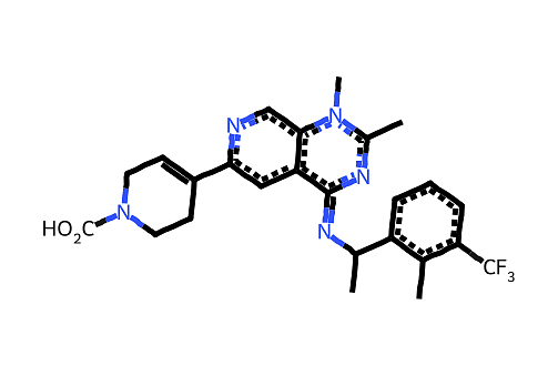 Cc1c(C(C)N=c2nc(C)n(C)c3cnc(C4=CCN(C(=O)O)CC4)cc23)cccc1C(F)(F)F